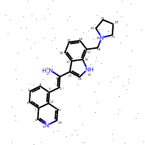 N/C(=C\c1cccc2cnccc12)c1c[nH]c2c(CN3CCCC3)cccc12